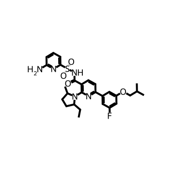 CCC1CCC(C)N1c1nc(-c2cc(F)cc(OCC(C)C)c2)ccc1C(=O)NS(=O)(=O)c1cccc(N)n1